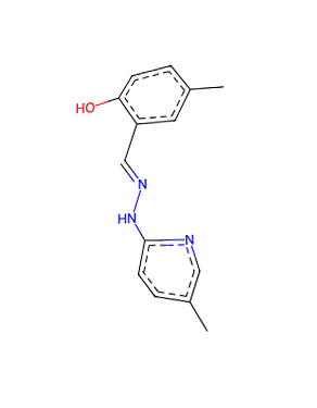 Cc1ccc(NN=Cc2cc(C)ccc2O)nc1